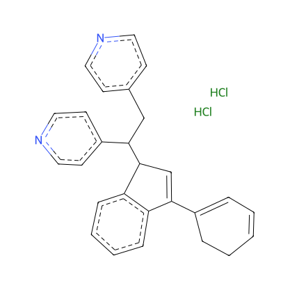 C1=CCCC(C2=CC(C(Cc3ccncc3)c3ccncc3)c3ccccc32)=C1.Cl.Cl